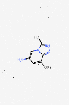 COc1cc(N)cn2c(C)nnc12